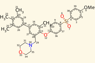 COc1ccc(S(=O)(=O)c2ccc(Oc3c(C)cc(-c4cc(C)c(C)c(C)c4)cc3CN3CCOCC3)cc2)cc1